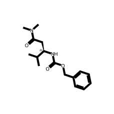 CC(C)[C@@H](CC(=O)N(C)C)NC(=O)OCc1ccccc1